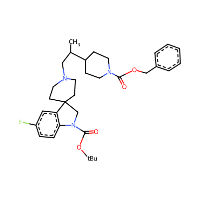 CC(CN1CCC2(CC1)CN(C(=O)OC(C)(C)C)c1ccc(F)cc12)C1CCN(C(=O)OCc2ccccc2)CC1